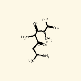 CC(N)CC(=O)C(C)C(=O)C(C)C(=O)C(C)C